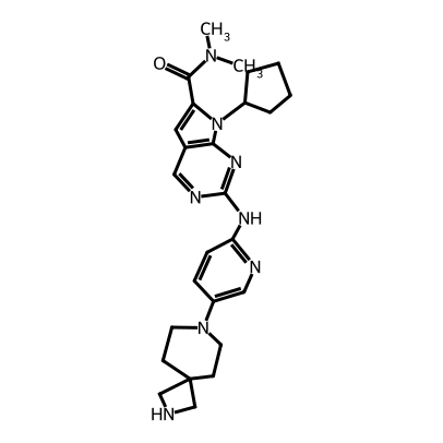 CN(C)C(=O)c1cc2cnc(Nc3ccc(N4CCC5(CC4)CNC5)cn3)nc2n1C1CCCC1